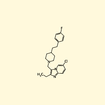 CCc1nc2ccc(Cl)cn2c1CN1CCC(CCc2ccc(F)cc2)CC1